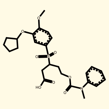 COc1ccc(S(=O)(=O)C(CCOC(=O)N(C)c2ccccc2)CC(=O)O)cc1OC1CCCC1